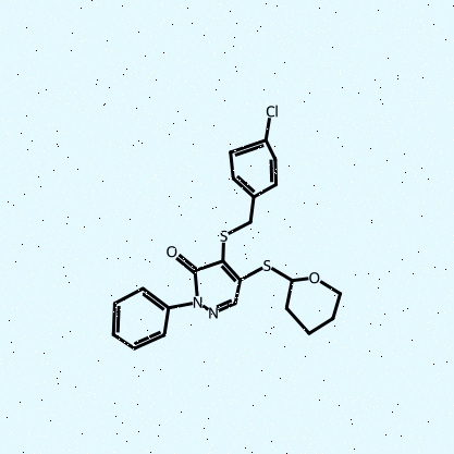 O=c1c(SCc2ccc(Cl)cc2)c(SC2CCCCO2)cnn1-c1ccccc1